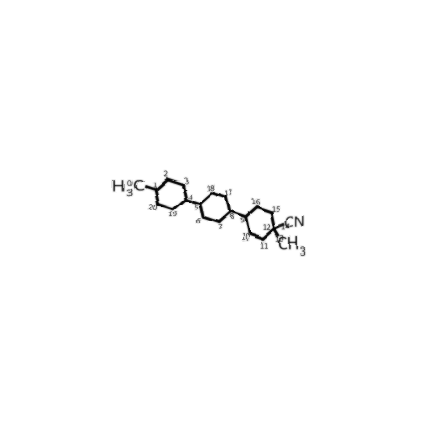 CC1CCC(C2CCC(C3CCC(C)(C#N)CC3)CC2)CC1